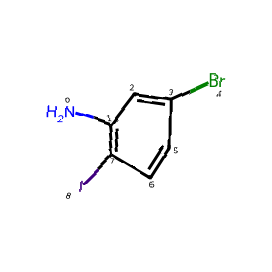 Nc1cc(Br)ccc1I